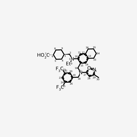 CCN(C[C@H]1CC[C@H](C(=O)O)CC1)c1cc2c(cc1CN(Cc1cc(C(F)(F)F)cc(C(F)(F)F)c1)c1cc(C)no1)CCCC2